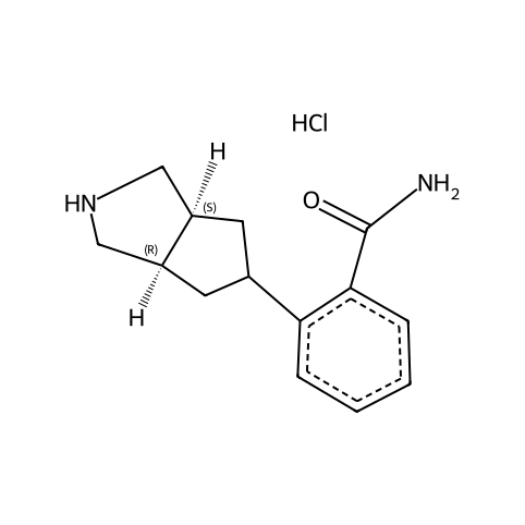 Cl.NC(=O)c1ccccc1C1C[C@H]2CNC[C@H]2C1